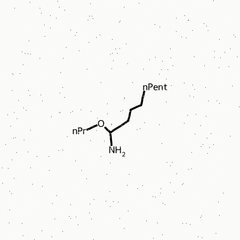 CCCCCCCCC(N)OCCC